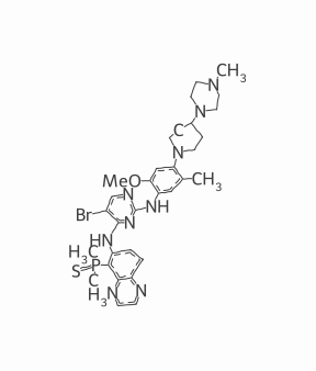 COc1cc(N2CCC(N3CCN(C)CC3)CC2)c(C)cc1Nc1ncc(Br)c(Nc2ccc3nccnc3c2P(C)(C)=S)n1